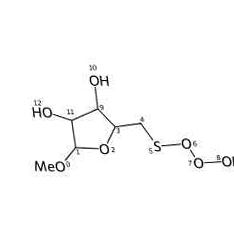 COC1OC(CSOOO)C(O)C1O